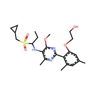 CCC(Nc1c(C)nc(-c2c(C)cc(C)cc2OCCO)nc1OC)S(=O)(=O)CC1CC1